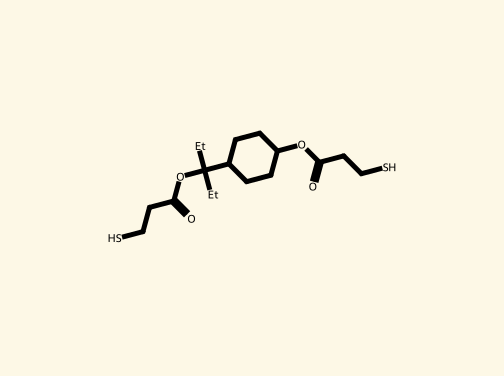 CCC(CC)(OC(=O)CCS)C1CCC(OC(=O)CCS)CC1